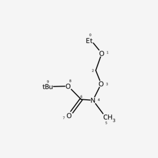 CCOCON(C)C(=O)OC(C)(C)C